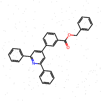 O=C(OCc1ccccc1)c1cccc(-c2cc(-c3ccccc3)nc(-c3ccccc3)c2)c1